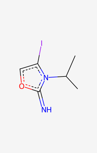 CC(C)n1c(I)coc1=N